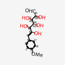 COc1ccc(C=C(O)[C@@H](O)[C@H](O)[C@@H](O)[C@H](O)C=O)cc1